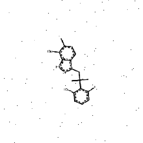 Cc1ccc2c(CC(C)(C)c3c(O)cccc3F)n[nH]c2c1C(C)(C)C